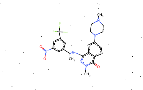 CC(Nc1nn(C)c(=O)c2ccc(N3CCN(C)CC3)cc12)c1cc([N+](=O)[O-])cc(C(F)(F)F)c1